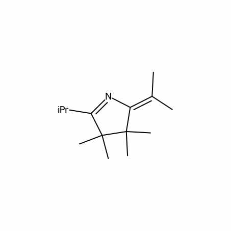 CC(C)=C1N=C(C(C)C)C(C)(C)C1(C)C